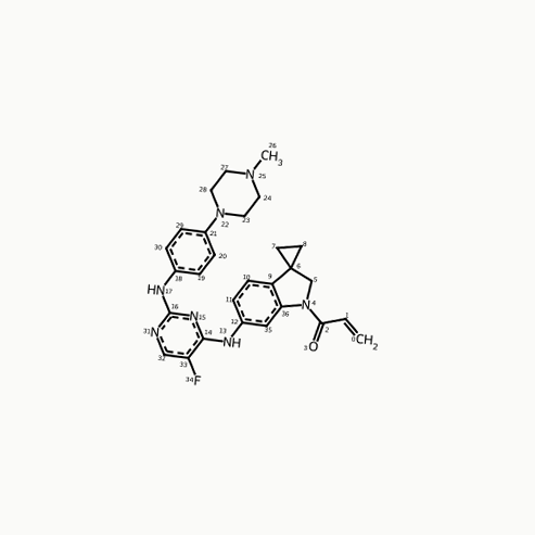 C=CC(=O)N1CC2(CC2)c2ccc(Nc3nc(Nc4ccc(N5CCN(C)CC5)cc4)ncc3F)cc21